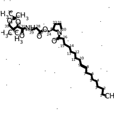 CCCCCCCCC=CCCCCCCCC(=O)N1CCC[C@@H]1COC(=O)CCNC(=O)C1OC(C)(C)OCC1(C)C